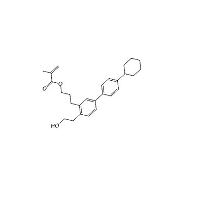 C=C(C)C(=O)OCCCc1cc(-c2ccc(C3CCCCC3)cc2)ccc1CCO